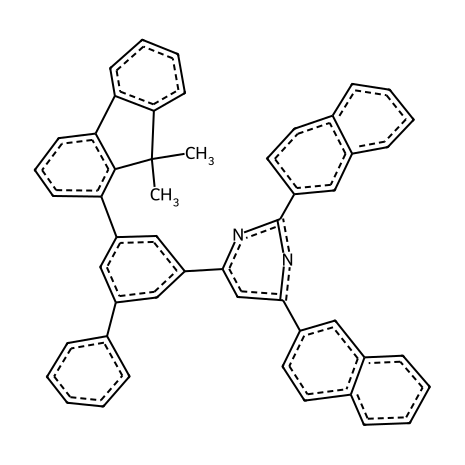 CC1(C)c2ccccc2-c2cccc(-c3cc(-c4ccccc4)cc(-c4cc(-c5ccc6ccccc6c5)nc(-c5ccc6ccccc6c5)n4)c3)c21